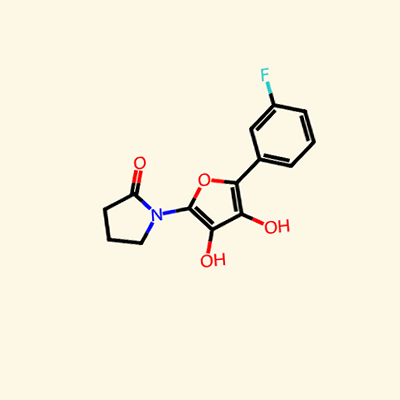 O=C1CCCN1c1oc(-c2cccc(F)c2)c(O)c1O